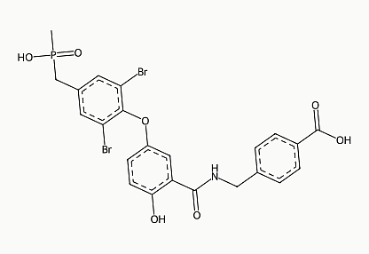 CP(=O)(O)Cc1cc(Br)c(Oc2ccc(O)c(C(=O)NCc3ccc(C(=O)O)cc3)c2)c(Br)c1